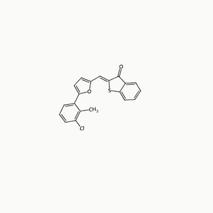 Cc1c(Cl)cccc1-c1ccc(C=C2Sc3ccccc3C2=O)o1